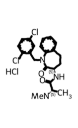 CN[C@@H](C)C(=O)N[C@H]1CCc2ccccc2N(Cc2cc(Cl)ccc2Cl)C1=O.Cl